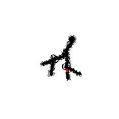 CCCCCCCCC(CCCCCC)C(=O)OCCCCC1CN(CCCCOCc2ccccc2)CC1CCCCOC(=O)C(CCCCCC)CCCCCCCC